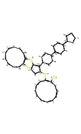 SC1CCCCCCCCCCC1SC1CCC(SC2CCCCCCCCCC2S)C1C1CCC(C2CCC(C3CCCC3)CC2)CC1